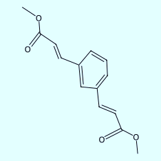 COC(=O)/C=C/c1cccc(/C=C/C(=O)OC)c1